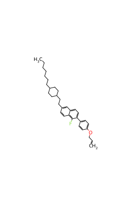 C=CCOc1ccc(-c2ccc3cc(CCC4CCC(CCCCCCC)CC4)ccc3c2F)cc1